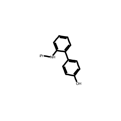 CC(C)Nc1ccccc1-c1ccc(O)cc1